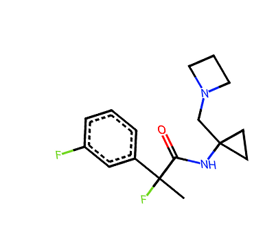 CC(F)(C(=O)NC1(CN2CCC2)CC1)c1cccc(F)c1